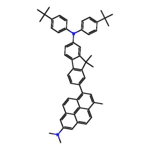 Cc1cc(-c2ccc3c(c2)C(C)(C)c2cc(N(c4ccc(C(C)(C)C)cc4)c4ccc(C(C)(C)C)cc4)ccc2-3)c2ccc3cc(N(C)C)cc4ccc1c2c43